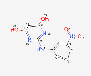 O=[N+]([O-])c1cccc(Nc2nc(O)cc(O)n2)c1